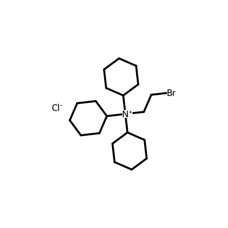 BrCC[N+](C1CCCCC1)(C1CCCCC1)C1CCCCC1.[Cl-]